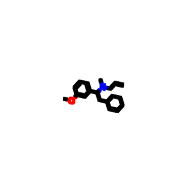 C=CCN(C)C(CC1C=CCCC1)c1cccc(OC)c1